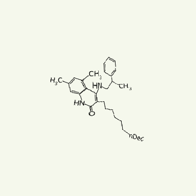 CCCCCCCCCCCCCCCCc1c(NCC(C)c2ccccc2)c2c(C)cc(C)cc2[nH]c1=O